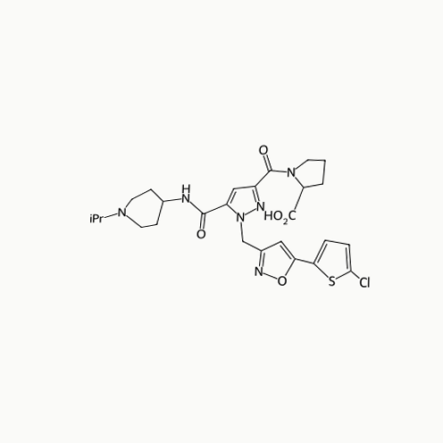 CC(C)N1CCC(NC(=O)c2cc(C(=O)N3CCCC3C(=O)O)nn2Cc2cc(-c3ccc(Cl)s3)on2)CC1